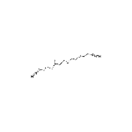 C#CCCOCCOCCNCCCN=[N+]=[N-]